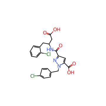 O=C(O)CC(Cc1ccccc1Cl)NC(=O)c1cc(C(=O)O)n(Cc2ccc(Cl)cc2)n1